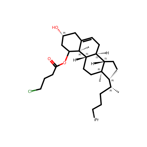 CC(C)CCC[C@@H](C)[C@H]1CC[C@H]2[C@@H]3CC=C4C[C@@H](O)CC(OC(=O)CCCCl)[C@]4(C)[C@H]3CC[C@]12C